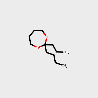 CCCCC1(CCC)OCCCCO1